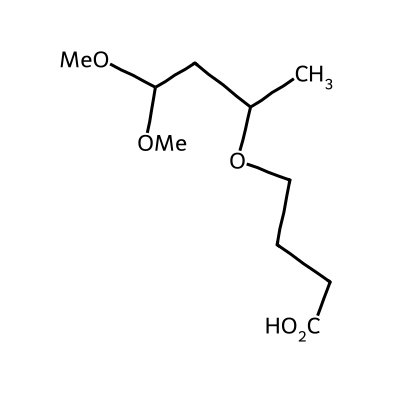 COC(CC(C)OCCCC(=O)O)OC